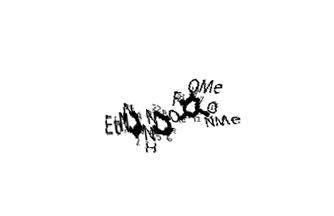 CCn1cc(Nc2ccc(OCc3cc(C(=O)NC)cc(OC)c3F)cn2)cn1